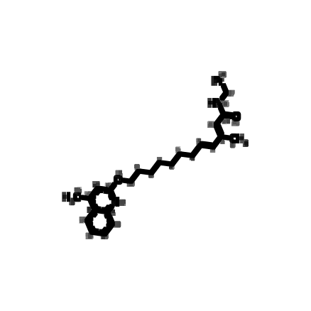 CC(C=CCCCCCCCOc1cc(C)c2ccccc2n1)=CC(=O)NCC(C)C